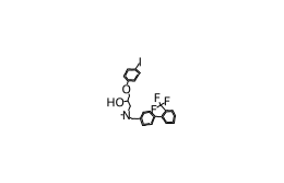 CN(Cc1ccc(-c2ccccc2C(F)(F)F)cc1)CC(O)COc1ccc(I)cc1